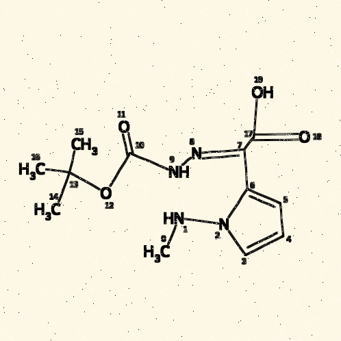 CNn1cccc1/C(=N\NC(=O)OC(C)(C)C)C(=O)O